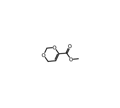 COC(=O)C1=CCOCO1